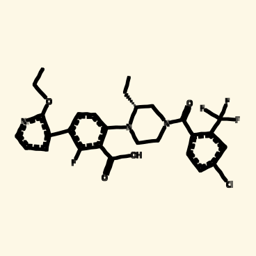 CCOc1ncccc1-c1ccc(N2CCN(C(=O)c3ccc(Cl)cc3C(F)(F)F)C[C@H]2CC)c(C(=O)O)c1F